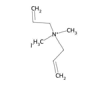 C=CC[N+](C)(C)CC=C.[I-]